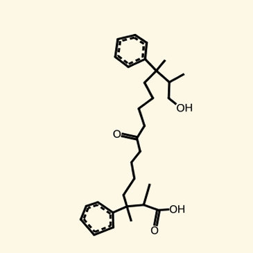 CC(CO)C(C)(CCCCC(=O)CCCCC(C)(c1ccccc1)C(C)C(=O)O)c1ccccc1